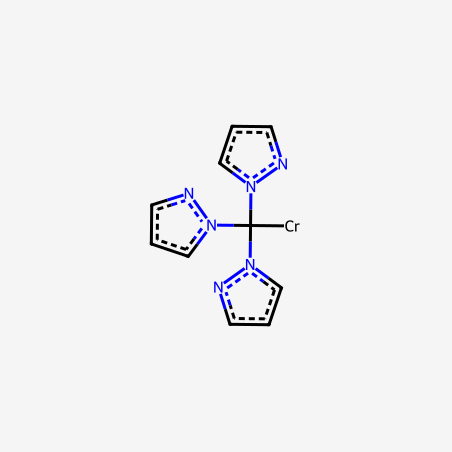 [Cr][C](n1cccn1)(n1cccn1)n1cccn1